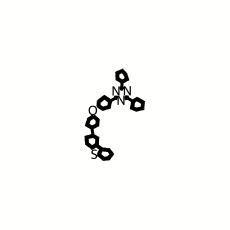 c1ccc(-c2nc(-c3ccccc3)nc(-c3ccc(Oc4ccc(-c5ccc6sc7ccccc7c6c5)cc4)cc3)n2)cc1